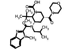 CC(C)CN(C(=O)c1nc2ccccc2n1C)[C@H]1C[C@@H](C(=O)N2CCOCC2)CN(C(=O)O)C1C(C)(C)C